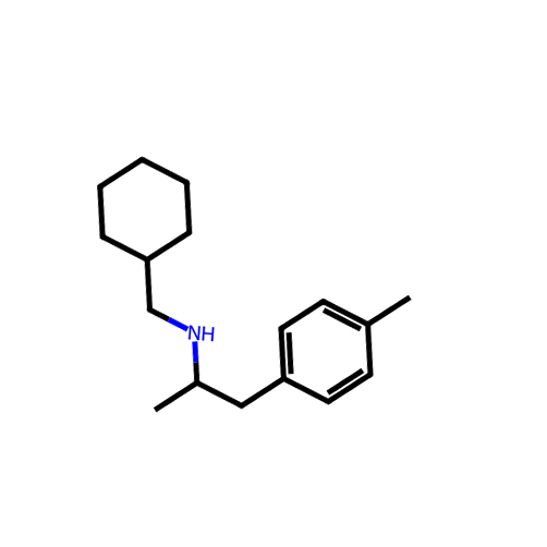 Cc1ccc(CC(C)NCC2CCCCC2)cc1